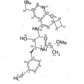 C#Cc1cccc(C[C@H](NC(=O)[C@@H](C)OC)C(O)CNC2=CC3(CCC3)Oc3ncc(CC(C)(C)C)cc32)c1